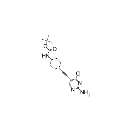 CC(C)(C)OC(=O)NC1CCC(C#Cc2cnc(N)nc2Cl)CC1